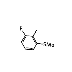 CSc1cccc(F)c1C